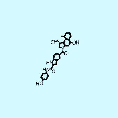 Cc1cccc2c(O)cc3c(c12)[C@H](CCl)CN3C(=O)c1ccc2[nH]c(C(=O)Nc3ccc(O)cc3)cc2c1